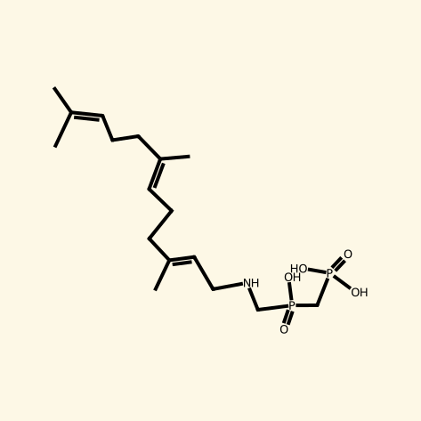 CC(C)=CCCC(C)=CCCC(C)=CCNCP(=O)(O)CP(=O)(O)O